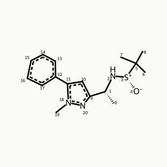 C[C@@H](N[S@@+]([O-])C(C)(C)C)c1cc(-c2ccccc2)n(C)n1